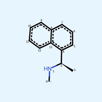 [CH2]N[C@H](C)c1cccc2ccccc12